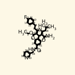 CCOC(=O)C1=C(CCc2ccc(F)cc2)NC(CC(C)C)=C(C(N)=O)C1c1ccc(C(=O)NCc2cccnc2)cc1